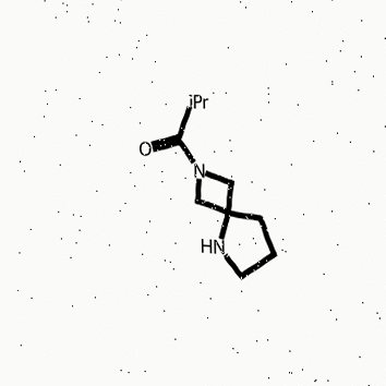 CC(C)C(=O)N1CC2(CCCN2)C1